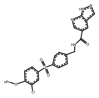 CCCOc1ccc(S(=O)(=O)c2ccc(CNC(=O)c3cnc4[nH]ncc4c3)cc2)cc1Cl